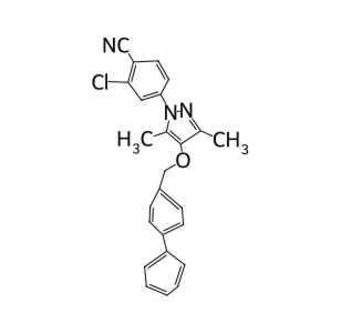 Cc1nn(-c2ccc(C#N)c(Cl)c2)c(C)c1OCc1ccc(-c2ccccc2)cc1